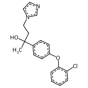 CC(O)(CCn1ccnc1)c1ccc(Oc2ccccc2Cl)cc1